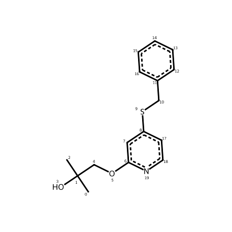 CC(C)(O)COc1cc(SCc2ccccc2)ccn1